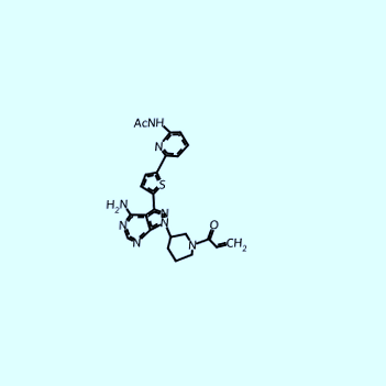 C=CC(=O)N1CCCC(n2nc(-c3ccc(-c4cccc(NC(C)=O)n4)s3)c3c(N)ncnc32)C1